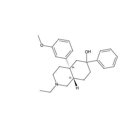 CCN1CC[C@@]2(c3cccc(OC)c3)CC(O)(c3ccccc3)CC[C@@H]2C1